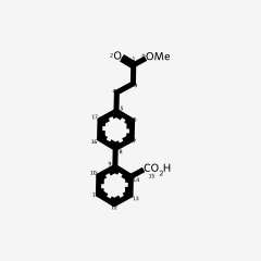 COC(=O)CCc1ccc(-c2ccccc2C(=O)O)cc1